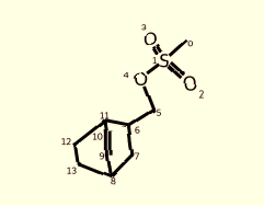 CS(=O)(=O)OCC1CC2C=CC1CC2